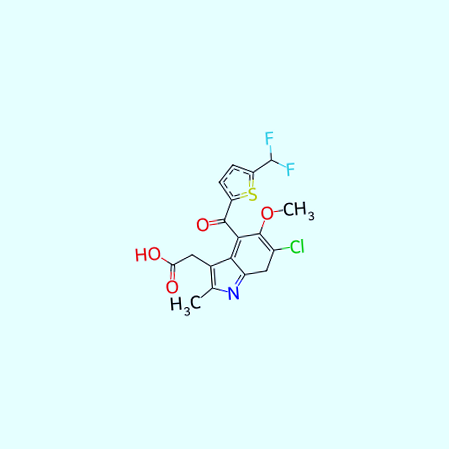 COC1=C(Cl)CC2=NC(C)=C(CC(=O)O)C2=C1C(=O)c1ccc(C(F)F)s1